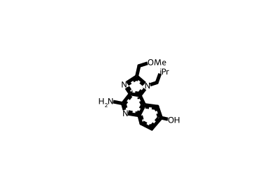 COCc1nc2c(N)nc3ccc(O)cc3c2n1CC(C)C